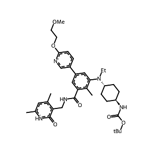 CCN(c1cc(-c2ccc(OCCOC)nc2)cc(C(=O)NCc2c(C)cc(C)[nH]c2=O)c1C)[C@H]1CC[C@H](NC(=O)OC(C)(C)C)CC1